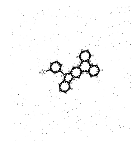 Cc1cccc(-n2c3ccccc3c3cc4c5ccccc5c5ccccc5c4cc32)c1